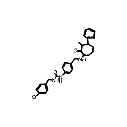 CC1C(=O)C(NCc2ccc(NC(=O)NCc3ccc(Cl)cc3)cc2)CCCC1c1ccccc1